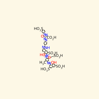 Cc1cc(/N=N/c2c(S(=O)(=O)O)cc3c(ccc4nc(-c5ccc(/N=N/C6C(=O)N(c7ccc(S(=O)(=O)O)cc7)N=C6C(=O)O)cc5)[nH]c43)c2O)c(OCCCS(=O)(=O)O)cc1/N=N/c1cc(S(=O)(=O)O)cc2cc(S(=O)(=O)O)cc(O)c12